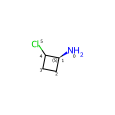 N[C@H]1CCC1Cl